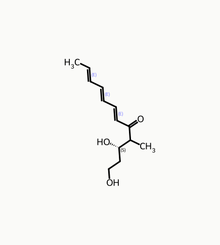 C/C=C/C=C/C=C/C(=O)C(C)[C@@H](O)CCO